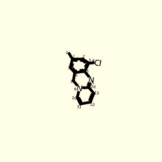 Cc1cc(Cl)c2c(c1)CN1C=CC=CC1=N2